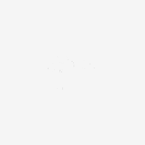 CC(C)(CCO)c1cccc2c(O)c(C(=O)NCc3ccc(Cl)cc3)cnc12